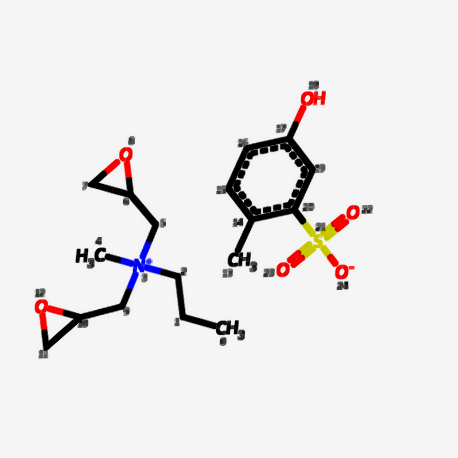 CCC[N+](C)(CC1CO1)CC1CO1.Cc1ccc(O)cc1S(=O)(=O)[O-]